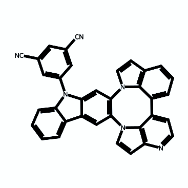 N#Cc1cc(C#N)cc(-n2c3ccccc3c3cc4c(cc32)n2ccc3cccc(c5ccnc6ccn4c65)c32)c1